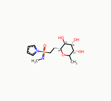 CN=S(=O)(CC[C@H]1OC(C)[C@@H](O)[C@@H](O)[C@@H]1O)n1cccc1